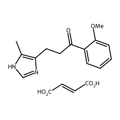 COc1ccccc1C(=O)CCc1nc[nH]c1C.O=C(O)C=CC(=O)O